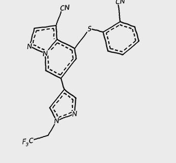 N#Cc1ccccc1Sc1cc(-c2cnn(CC(F)(F)F)c2)cn2ncc(C#N)c12